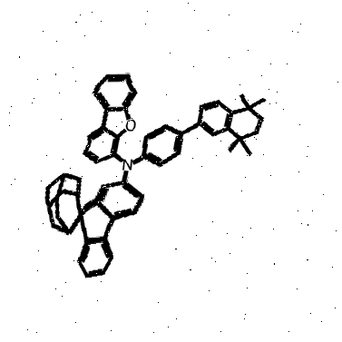 CC1(C)CCC(C)(C)c2cc(-c3ccc(N(c4ccc5c(c4)C4(c6ccccc6-5)C5CC6CC(C5)CC4C6)c4cccc5c4oc4ccccc45)cc3)ccc21